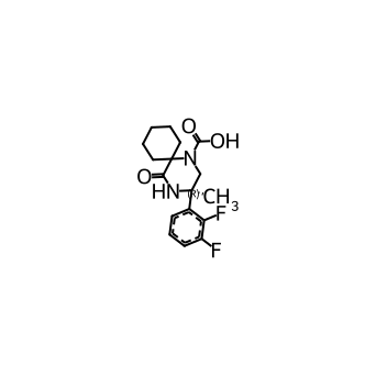 C[C@@]1(c2cccc(F)c2F)CN(C(=O)O)C2(CCCCC2)C(=O)N1